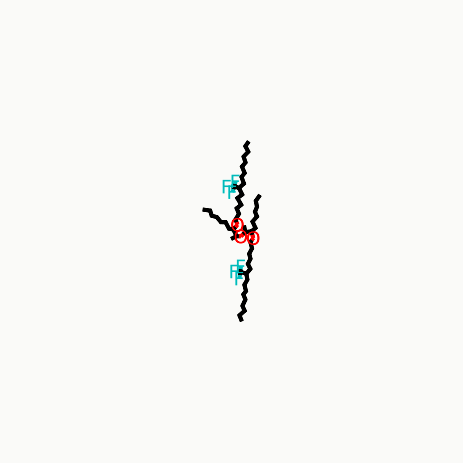 CCCCCCCCCC(CCCCCCOC(CCCCCCC)C(C)OC(C)C(CCCCCCC)OCCCCCCC(CCCCCCCCC)C(F)(F)F)C(F)(F)F